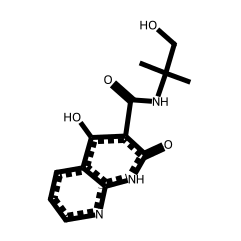 CC(C)(CO)NC(=O)c1c(O)c2cccnc2[nH]c1=O